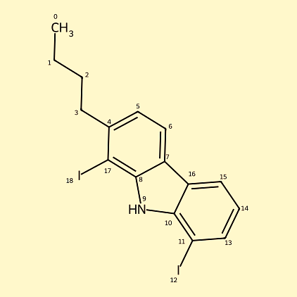 CCCCc1ccc2c([nH]c3c(I)cccc32)c1I